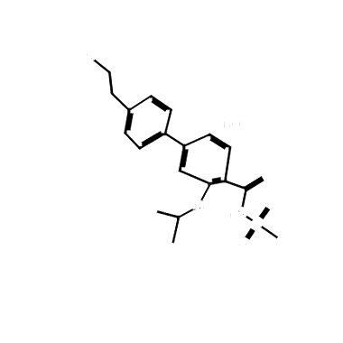 CC(C)Nc1cc(-c2ccc(CCN)cc2)ccc1C(=O)NS(C)(=O)=O.Cl.Cl